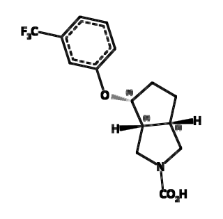 O=C(O)N1C[C@H]2CC[C@@H](Oc3cccc(C(F)(F)F)c3)[C@H]2C1